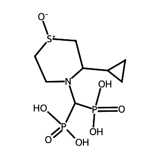 O=P(O)(O)C(N1CC[S+]([O-])CC1C1CC1)P(=O)(O)O